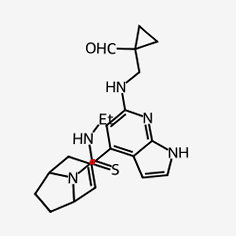 CCNC(=S)N1C2C=C(c3cc(NCC4(C=O)CC4)nc4[nH]ccc34)CC1CC2